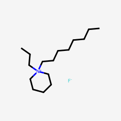 CCCCCCCC[N+]1(CCC)CCCCC1.[F-]